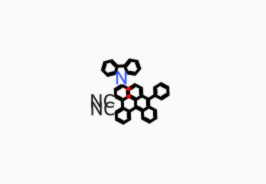 N#Cc1cc(-n2c3ccccc3c3ccccc32)ccc1-c1c(C#N)cccc1-c1c2ccccc2c(-c2ccccc2)c2ccccc12